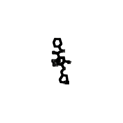 O=C(NC1CCCCC1)c1ccc(OCC2CCNCC2)c(Br)c1.O=C(O)O